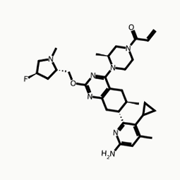 C=CC(=O)N1CCN(c2nc(OC[C@@H]3C[C@@H](F)CN3C)nc3c2C[C@@H](C)[C@H](c2nc(N)cc(C)c2C2CC2)C3)[C@@H](C)C1